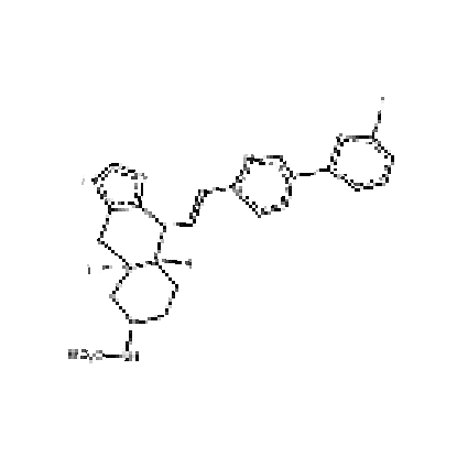 CCOC(=O)N[C@@H]1CC[C@@H]2[C@H](Cc3[nH]cnc3[C@H]2/C=C/c2ccc(-c3cccc(F)c3)cn2)C1